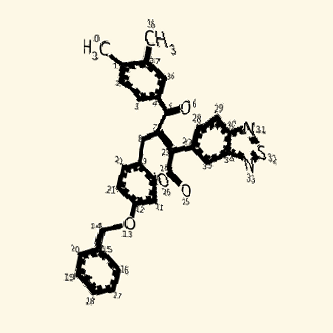 Cc1ccc(C(=O)C(Cc2ccc(OCc3ccccc3)cc2)=C(C(=O)O)c2ccc3nsnc3c2)cc1C